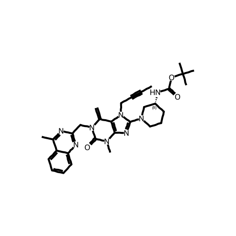 C=C1c2c(nc(N3CCC[C@@H](NC(=O)OC(C)(C)C)C3)n2CC#CC)N(C)C(=O)N1Cc1nc(C)c2ccccc2n1